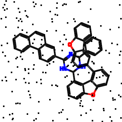 c1ccc(C2N=C(c3ccc4c(ccc5ccccc54)c3)NC(c3cccc4oc5cccc(-c6ccc7oc8ccccc8c7c6)c5c34)N2)cc1